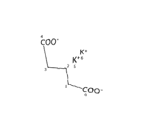 O=C([O-])CCCC(=O)[O-].[K+].[K+]